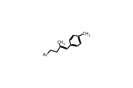 CC(=O)CC/C(C)=C/c1ccc(C)cc1